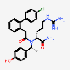 C[C@H](c1ccc(O)cc1)N(C(=O)Cc1ccccc1-c1ccc(Cl)cc1)[C@H](CCCNC(=N)N)C(N)=O